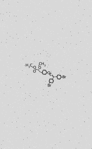 CCOC(=O)C(Cc1ccc(OCC=C(c2ccc(Br)cc2)c2ccc(Br)cc2)cc1)OCC